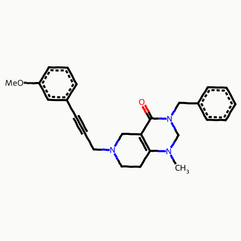 COc1cccc(C#CCN2CCC3=C(C2)C(=O)N(Cc2ccccc2)CN3C)c1